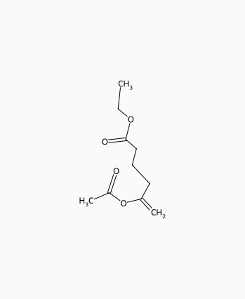 C=C(CCCC(=O)OCC)OC(C)=O